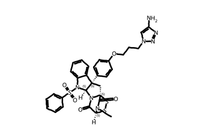 CN1C(=O)[C@@]23C[C@]4(c5ccc(OCCCn6cc(N)nn6)cc5)c5ccccc5N(S(=O)(=O)c5ccccc5)[C@@H]4N2C(=O)[C@@H]1SS3